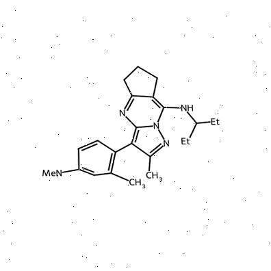 CCC(CC)Nc1c2c(nc3c(-c4ccc(NC)cc4C)c(C)nn13)CCC2